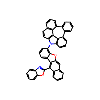 c1ccc2c(c1)-c1cccc3ccc4c(c13)c1c-2cccc1n4-c1cccc2c1oc1cc3ccccc3c(-c3nc4ccccc4o3)c12